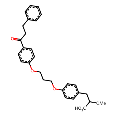 COC(Cc1ccc(OCCCOc2ccc(C(=O)CCc3ccccc3)cc2)cc1)C(=O)O